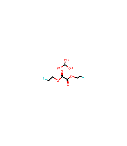 O=C(OCCF)C(=O)OCCF.OB(O)O